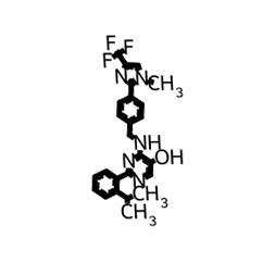 CC(C)c1ccccc1-c1ncc(O)c(NCc2ccc(-c3nc(C(F)(F)F)cn3C)cc2)n1